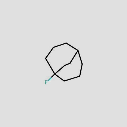 FC12CCCC(CCC1)CC2